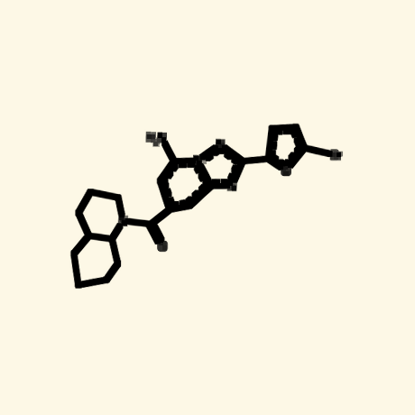 Nc1cc(C(=O)N2CCCC3CCCCC32)cc2nc(-c3ccc(Br)o3)nn12